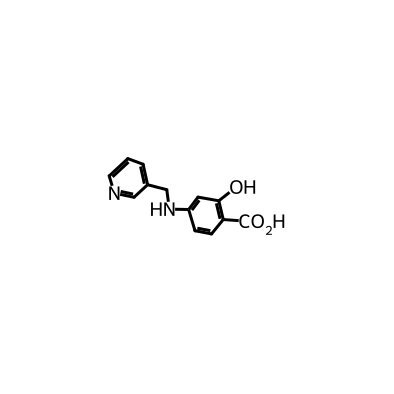 O=C(O)c1ccc(NCc2cccnc2)cc1O